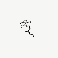 CC/C=C(C)\C=C/CS(=O)(=O)O